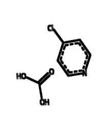 Clc1ccncc1.O=C(O)O